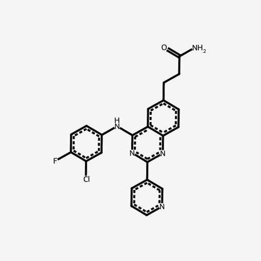 NC(=O)CCc1ccc2nc(-c3cccnc3)nc(Nc3ccc(F)c(Cl)c3)c2c1